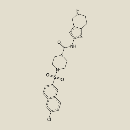 O=C(Nc1cc2c(s1)CCNC2)N1CCN(S(=O)(=O)c2ccc3cc(Cl)ccc3c2)CC1